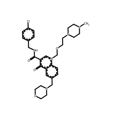 CN1CCN(CCOCn2cc(C(=O)NCc3ccc(Cl)cc3)c(=O)c3cc(CN4CCOCC4)ccc32)CC1